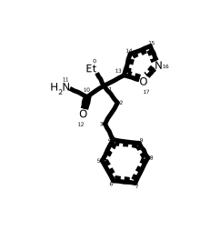 CCC(CCc1ccccc1)(C(N)=O)c1ccno1